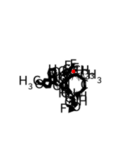 CC[C@@H]1C[C@H](C)CCC=C[C@@H]2C[C@@]2(C(=O)NS(=O)(=O)C2(CF)CC2)NC(=O)[C@@H]2C[C@@H](Oc3nc4c(c5cc(OC)ccc35)CCCO4)CN2C(=O)[C@H]1N(C(=O)O)C(C)(C)C(F)(F)F